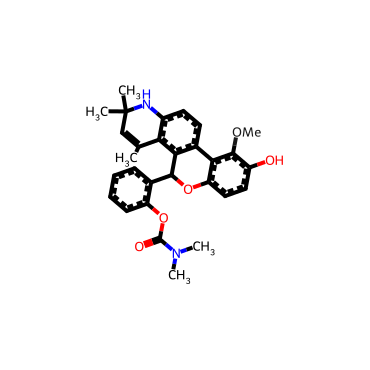 COc1c(O)ccc2c1-c1ccc3c(c1C(c1ccccc1OC(=O)N(C)C)O2)C(C)=CC(C)(C)N3